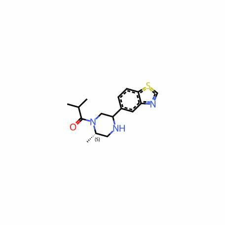 CC(C)C(=O)N1CC(c2ccc3scnc3c2)NC[C@@H]1C